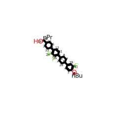 CCCCOc1ccc(C2CCC(c3ccc(C4CCC(C(O)CCC)CC4)c(F)c3F)CC2)cc1F